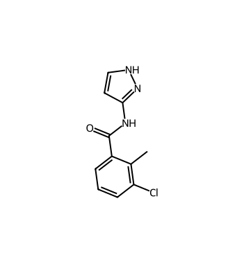 Cc1c(Cl)cccc1C(=O)Nc1cc[nH]n1